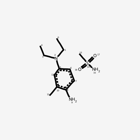 CCN(CC)c1ccc(N)c(C)c1.CS(N)(=O)=O